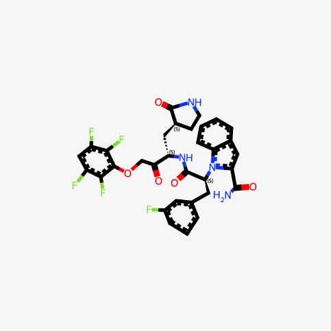 NC(=O)c1cc2ccccc2n1[C@@H](Cc1cccc(F)c1)C(=O)N[C@@H](C[C@@H]1CCNC1=O)C(=O)COc1c(F)c(F)cc(F)c1F